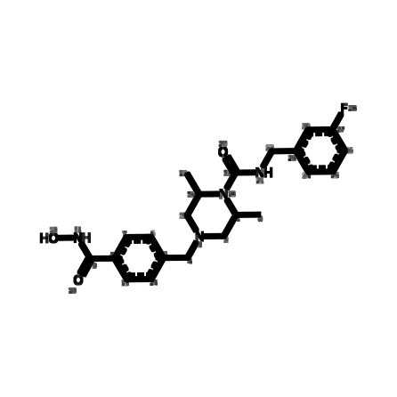 CC1CN(Cc2ccc(C(=O)NO)cc2)CC(C)N1C(=O)NCc1cccc(F)c1